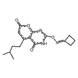 CC(C)CCc1cc(=O)oc2nc(ON=C3CCC3)[nH]c(=O)c12